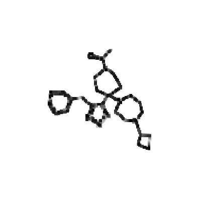 CC(=O)N1CCC(c2nnnn2Cc2ccccc2)(N2CCCN(C3CCC3)CC2)CC1